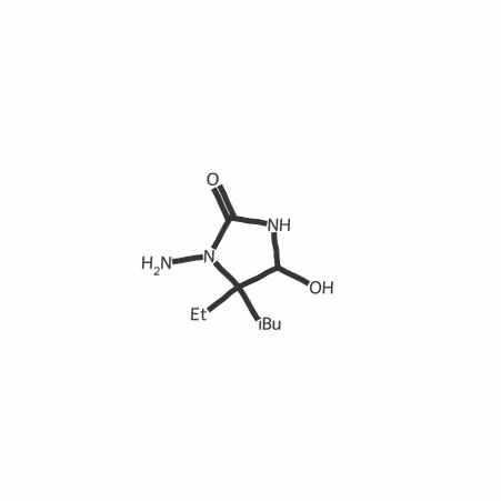 CCC(C)C1(CC)C(O)NC(=O)N1N